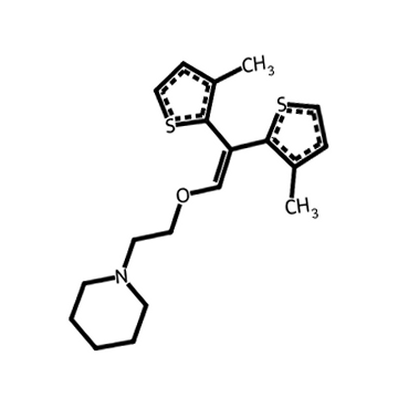 Cc1ccsc1C(=COCCN1CCCCC1)c1sccc1C